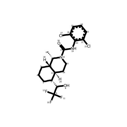 C[C@H]1[C@H]2CCC[C@@H](C(O)C(F)(F)F)[C@@H]2CCN1C(=O)Nc1c(Cl)cccc1Cl